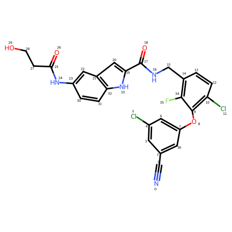 N#Cc1cc(Cl)cc(Oc2c(Cl)ccc(CNC(=O)c3cc4cc(NC(=O)CCO)ccc4[nH]3)c2F)c1